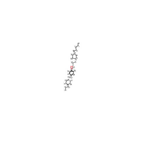 CCCCC[C@H]1CC[C@H](CCCOc2ccc(CC[C@H]3CC[C@H](CCC)CC3)cc2)CC1